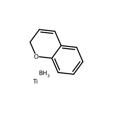 B.C1=Cc2ccccc2OC1.[Ti]